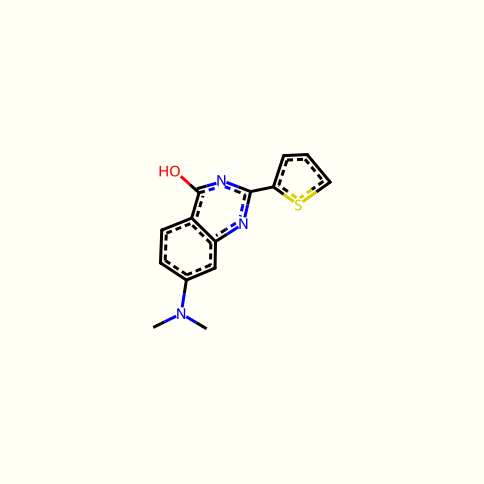 CN(C)c1ccc2c(O)nc(-c3cccs3)nc2c1